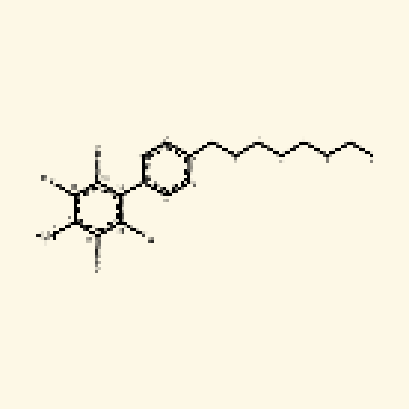 CCCCCCCCc1ccc(-c2c(F)c(F)c(N)c(F)c2F)cc1